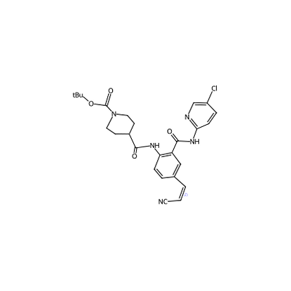 CC(C)(C)OC(=O)N1CCC(C(=O)Nc2ccc(/C=C\C#N)cc2C(=O)Nc2ccc(Cl)cn2)CC1